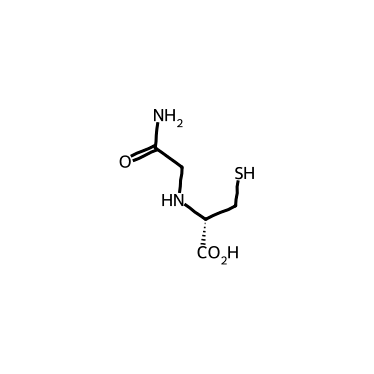 NC(=O)CN[C@H](CS)C(=O)O